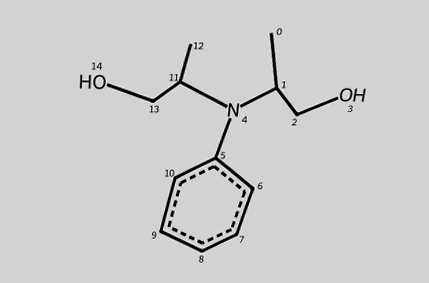 CC(CO)N(c1ccccc1)C(C)CO